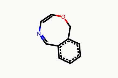 C1=COCc2ccccc2C=N1